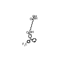 O=C(CCCCCCCCNC(=O)N1CCC(N(C2=CC=CC#CC2)c2ccc(C(F)(F)F)cc2)CC1)NO